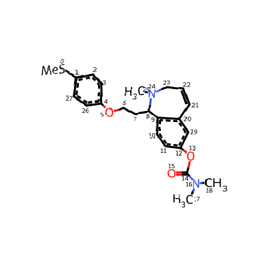 CSc1ccc(OCCC2c3ccc(OC(=O)N(C)C)cc3C=CCN2C)cc1